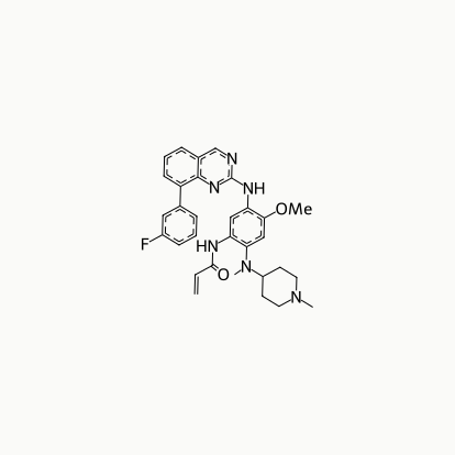 C=CC(=O)Nc1cc(Nc2ncc3cccc(-c4cccc(F)c4)c3n2)c(OC)cc1N(C)C1CCN(C)CC1